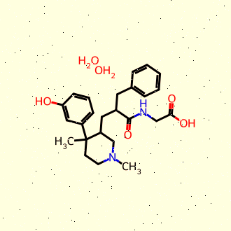 CN1CCC(C)(c2cccc(O)c2)C(CC(Cc2ccccc2)C(=O)NCC(=O)O)C1.O.O